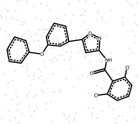 O=C(Nc1cc(-c2cccc(Oc3ccccc3)c2)on1)c1c(Cl)cccc1Cl